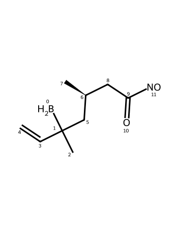 BC(C)(C=C)C[C@@H](C)CC(=O)N=O